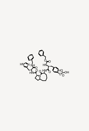 O=C(N[C@@H](Cc1ccc(OP(=O)(O)O)cc1)C(=O)N[C@H]1CCCCC2CC[C@@H](C(=O)N[C@@H](Cc3c[nH]cn3)C(=O)NCc3ccccc3)N2C1=O)OCc1ccccc1